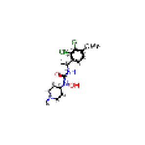 COc1ccc([C@H](C)NC(=O)N(O)C2CCN(C)CC2)c(Cl)c1Cl